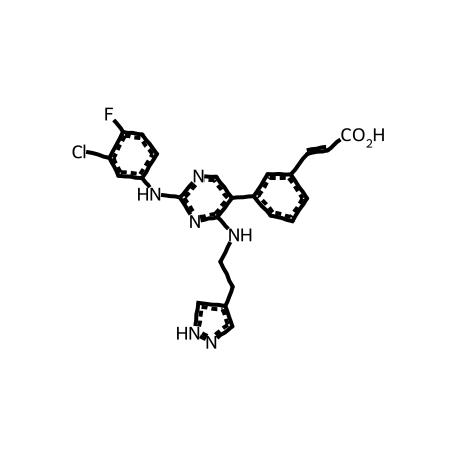 O=C(O)C=Cc1cccc(-c2cnc(Nc3ccc(F)c(Cl)c3)nc2NCCc2cn[nH]c2)c1